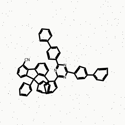 N#Cc1cccc2c1-c1cccc(-c3ccccc3-c3nc(-c4ccc(-c5ccccc5)cc4)nc(-c4ccc(-c5ccccc5)cc4)n3)c1C2(c1ccccc1)c1ccccc1